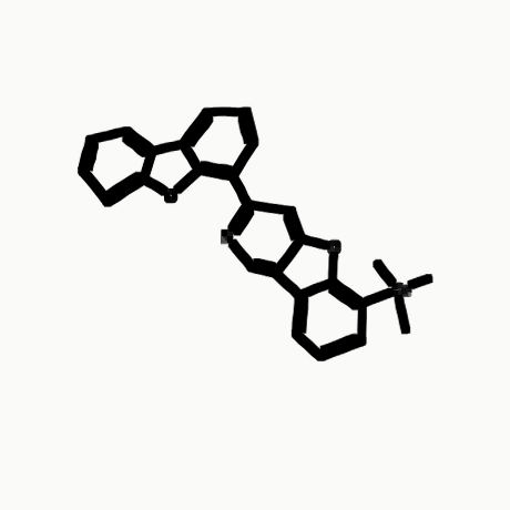 [CH3][Ge]([CH3])([CH3])[c]1cccc2c1oc1cc(-c3cccc4c3oc3ccccc34)ncc12